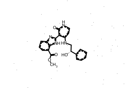 COC(=O)c1cccc2nc(-c3c(NC[C@@H](O)c4ccccc4)cc[nH]c3=O)[nH]c12